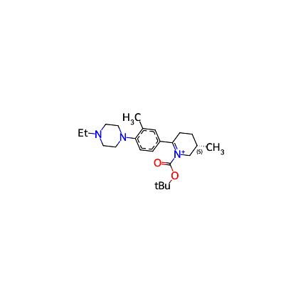 CCN1CCN(c2ccc(C3=[N+](C(=O)OC(C)(C)C)C[C@@H](C)CC3)cc2C)CC1